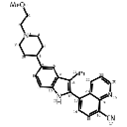 COCCN1CCC(c2ccc3[nH]c(-c4ccc(C#N)c5ncccc45)c(C(C)C)c3c2)CC1